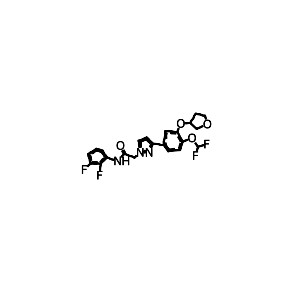 O=C(Cn1ccc(-c2ccc(OC(F)F)c(OC3CCOC3)c2)n1)Nc1cccc(F)c1F